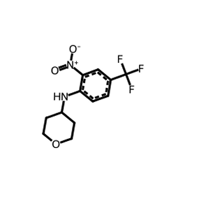 O=[N+]([O-])c1cc(C(F)(F)F)ccc1NC1CCOCC1